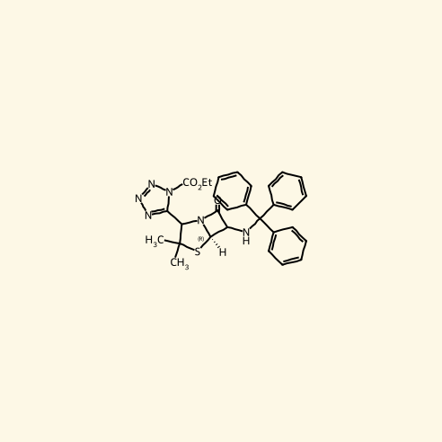 CCOC(=O)n1nnnc1C1N2C(=O)C(NC(c3ccccc3)(c3ccccc3)c3ccccc3)[C@H]2SC1(C)C